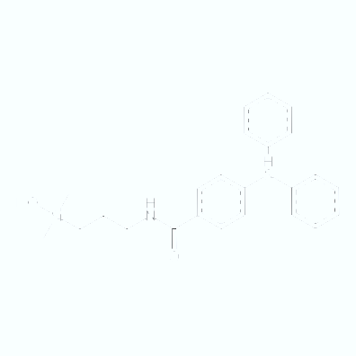 C[Si](C)(O)CCCNC(=O)c1ccc([SH](c2ccccc2)c2ccccc2)cc1